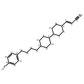 N#CC=CC1CCC(C2CCC(CCCCc3ccc(F)cc3)CC2)CC1